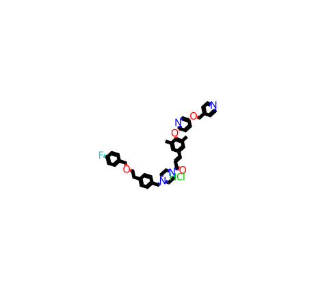 Cc1cc(C=CC(=O)N2CCN(Cc3ccc(CCOCc4ccc(F)cc4)cc3)CC2)cc(C)c1Oc1ccc(OCc2ccncc2)cn1.Cl